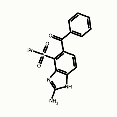 CC(C)S(=O)(=O)c1c(C(=O)c2ccccc2)ccc2[nH]c(N)nc12